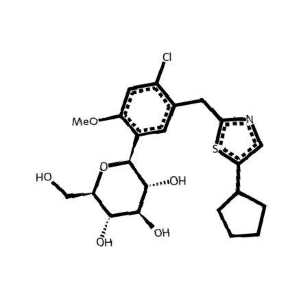 COc1cc(Cl)c(Cc2ncc(C3CCCC3)s2)cc1[C@@H]1O[C@H](CO)[C@@H](O)[C@H](O)[C@H]1O